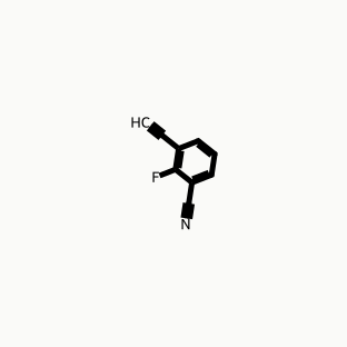 C#Cc1cccc(C#N)c1F